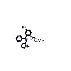 CCc1ccc(OCOC)c(/C(=C/C2CCCN2C)c2ccccc2)c1